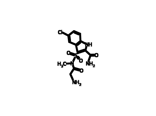 CN(C(=O)CN)S(=O)(=O)c1c(C(N)=O)[nH]c2ccc(Cl)cc12